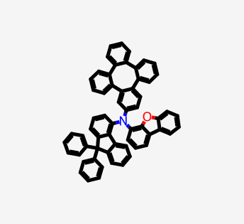 c1ccc(C2(c3ccccc3)c3ccccc3-c3c(N(c4ccc5c(c4)-c4ccccc4-c4ccccc4-c4ccccc4-5)c4cccc5c4oc4ccccc45)cccc32)cc1